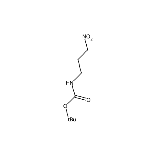 CC(C)(C)OC(=O)NCCC[N+](=O)[O-]